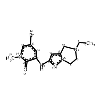 CCN1CCn2nc(Nc3cc(Br)cn(C)c3=O)cc2C1